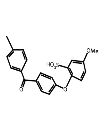 COc1ccc(Oc2ccc(C(=O)c3ccc(C)cc3)cc2)c(S(=O)(=O)O)c1